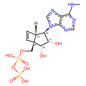 CNc1ncnc2c1ncn2[C@H]1[C@H](O)[C@H](O)[C@]2(COP(=O)(O)OP(=O)(O)O)C=C[C@H]12